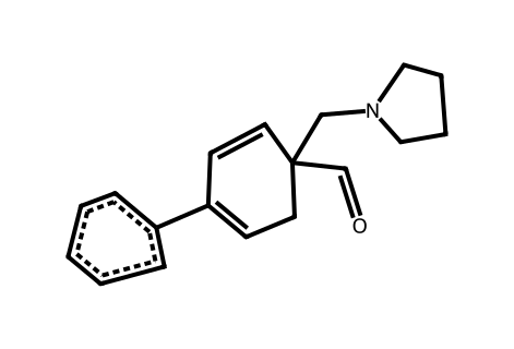 O=CC1(CN2CCCC2)C=CC(c2ccccc2)=CC1